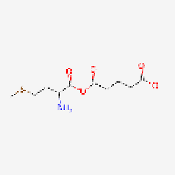 CSCCC(N)C(=O)OC(=O)CCCC(=O)O